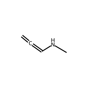 C=C=CNC